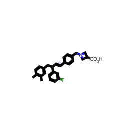 Cc1ccc(CC(/C=C/c2ccc(CN3CC(C(=O)O)C3)cc2)c2cccc(F)c2)cc1C